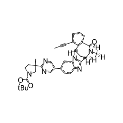 [2H]C([2H])([2H])N1C(=O)c2cccc(C#CC)c2[C@H]2C[C@@H]1c1nc3ccc(-c4cnc(C5(C)CCN(C(=O)OC(C)(C)C)C5)nc4)cc3n12